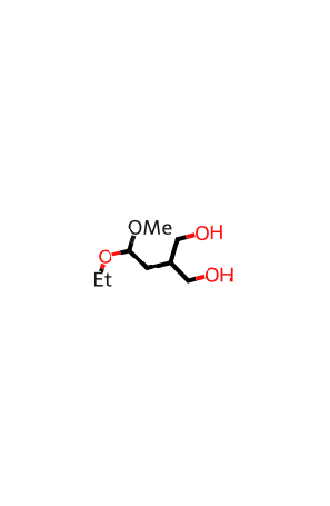 CCOC(CC(CO)CO)OC